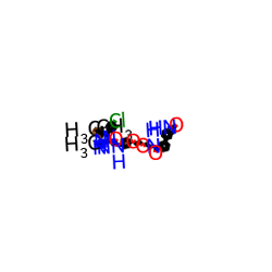 Cc1sc2c(c1C)C(c1ccc(Cl)cc1)=N[C@@H](CC(=O)Nc1ccc(OCCOCCNC(=O)c3cccc(-c4ccc5c(c4)CC(=O)N5)c3)cc1)c1nnc(C)n1-2